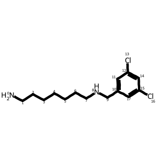 NCCCCCCCNCc1cc(Cl)cc(Cl)c1